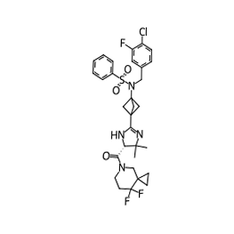 CC1(C)N=C(C23CC(N(Cc4ccc(Cl)c(F)c4)S(=O)(=O)c4ccccc4)(C2)C3)N[C@H]1C(=O)N1CCC(F)(F)C2(CC2)C1